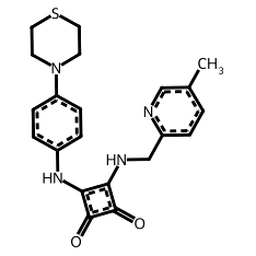 Cc1ccc(CNc2c(Nc3ccc(N4CCSCC4)cc3)c(=O)c2=O)nc1